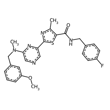 COc1cccc(CN(C)c2cncc(-c3nc(C)c(C(=O)NCc4ccc(F)cc4)s3)n2)c1